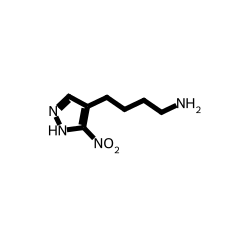 NCCCCc1cn[nH]c1[N+](=O)[O-]